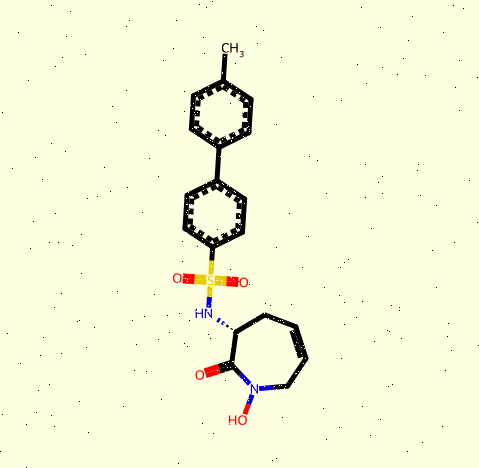 Cc1ccc(-c2ccc(S(=O)(=O)N[C@@H]3CC=CCN(O)C3=O)cc2)cc1